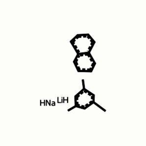 Cc1cc(C)cc(C)c1.[LiH].[NaH].c1ccc2ccccc2c1